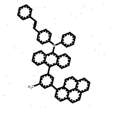 Cc1cc(-c2c3ccccc3c(N(c3ccccc3)c3ccc(/C=C/c4ccccc4)cc3)c3ccccc23)cc(-c2ccc3ccc4cccc5ccc2c3c45)c1